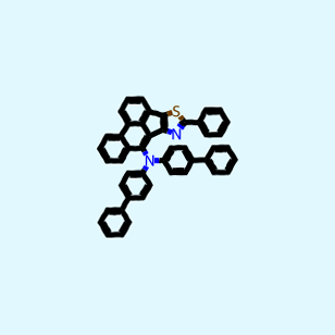 c1ccc(-c2ccc(N(c3ccc(-c4ccccc4)cc3)c3c4c5c(cccc5c5ccccc35)-c3sc(-c5ccccc5)nc3-4)cc2)cc1